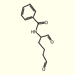 O=CCCCC(C=O)NC(=O)c1ccccc1